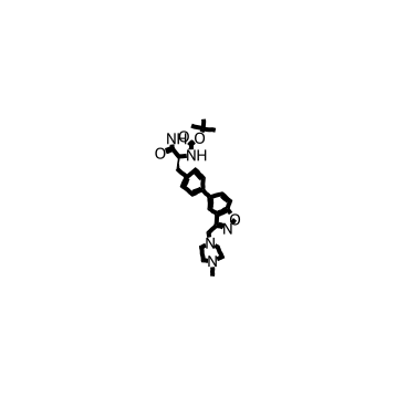 CN1CCN(Cc2noc3ccc(-c4ccc(C[C@H](NC(=O)OC(C)(C)C)C(N)=O)cc4)cc23)CC1